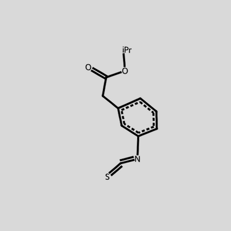 CC(C)OC(=O)Cc1cccc(N=C=S)c1